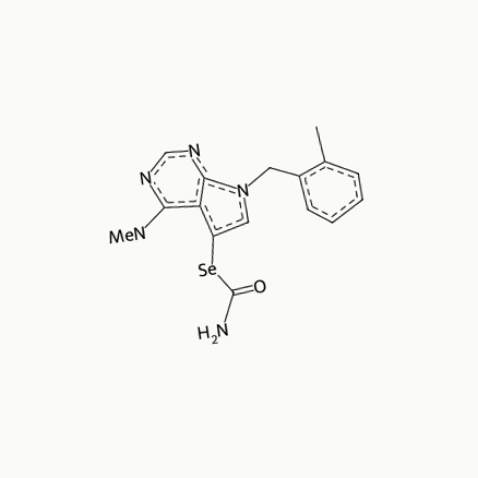 CNc1ncnc2c1c([Se]C(N)=O)cn2Cc1ccccc1C